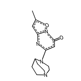 Cc1cc2nc(N3CCN4CCC3CC4)cc(=O)n2o1